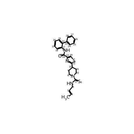 C/C=C/CNC(=S)N1CCC(c2nc(C(=O)Nc3ccccc3-c3ccccc3)cs2)CC1